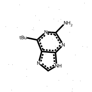 CC(C)(C)c1nc(N)nc2[nH]cnc12